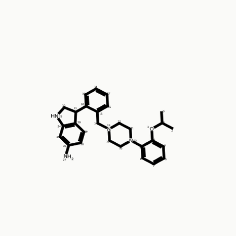 CC(C)Oc1ccccc1N1CCN(Cc2c[c]ccc2C2CNc3cc(N)ccc32)CC1